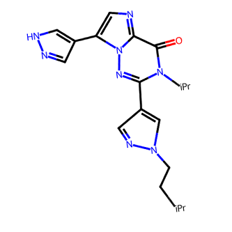 CC(C)CCn1cc(-c2nn3c(-c4cn[nH]c4)cnc3c(=O)n2C(C)C)cn1